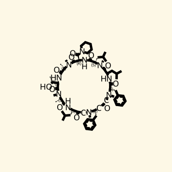 CC(C)CC1NC(=O)[C@H](Cc2ccccc2)N(C)CC(=O)C[C@H](Cc2ccccc2)N(C)CC(=O)[C@H](CC(C)C)NC(=O)[C@H](C)N(C)C(=O)[C@H]([C@@H](C)O)NC(=O)[C@H](C)N(C)C(=O)[C@@H](C(=O)N2CCCCC2)NC(=O)[C@H](CC(C)C)N(C)C1=O